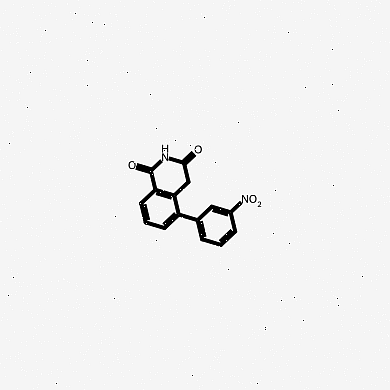 O=C1Cc2c(cccc2-c2cccc([N+](=O)[O-])c2)C(=O)N1